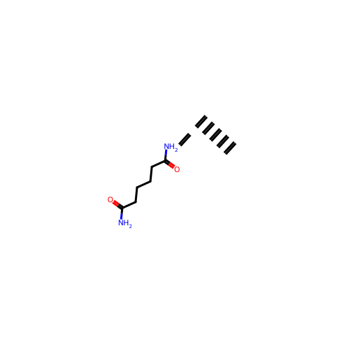 C=C.C=C.C=C.C=C.C=C.C=C.NC(=O)CCCCC(N)=O